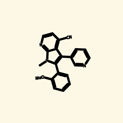 COc1ccccc1-c1c(-c2cccnc2)c2c(C#N)ccnc2n1C